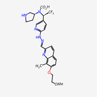 COCCOc1ccc2ccc(/C=N/Nc3ccc([C@@H](N(C(=O)O)[C@H]4CCNC4)C(F)(F)F)cn3)nc2c1C